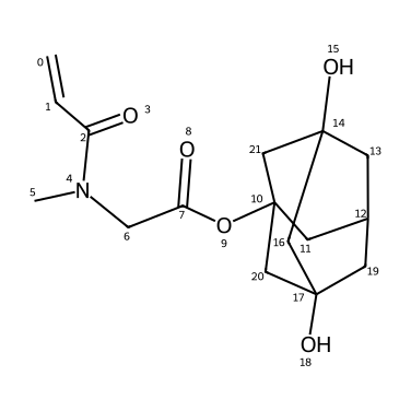 C=CC(=O)N(C)CC(=O)OC12CC3CC(O)(CC(O)(C3)C1)C2